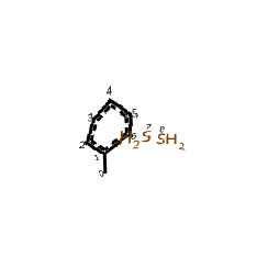 Cc1ccccc1.S.S